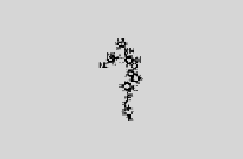 N#Cc1cncc(COc2cc(O[C@H]3CCc4c(-c5cccc(OCCCN6CCC(F)CC6)c5Cl)cccc43)c(Cl)cc2CNC2CCOCC2)c1